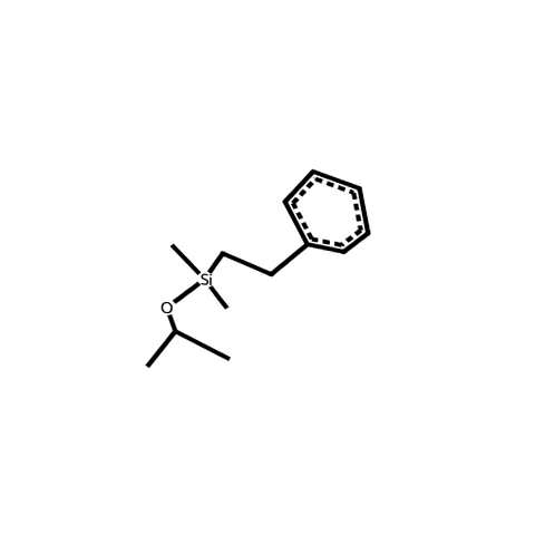 CC(C)O[Si](C)(C)CCc1ccccc1